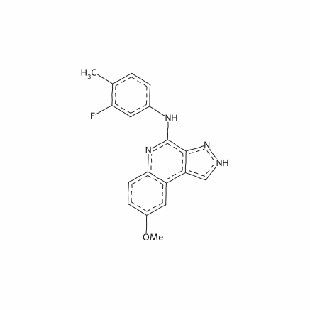 COc1ccc2nc(Nc3ccc(C)c(F)c3)c3n[nH]cc3c2c1